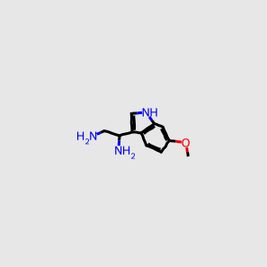 COc1ccc2c(C(N)CN)c[nH]c2c1